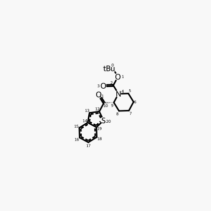 CC(C)(C)OC(=O)N1CCCC[C@@H]1C(=O)c1cc2ccccc2s1